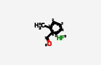 Cc1ccccc1C=O.F